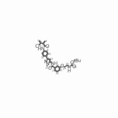 C=C(Cl)C(=C)C(=O)Nc1ccc(-c2cc(NC(=O)c3cccc(OCCNC(=O)OC(C)(C)C)c3)n(C)n2)cc1